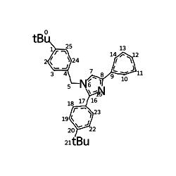 CC(C)(C)c1ccc(Cn2cc(-c3ccccc3)nc2-c2ccc(C(C)(C)C)cc2)cc1